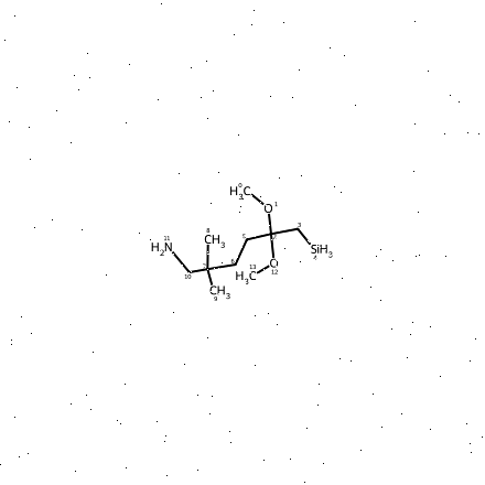 COC(C[SiH3])(CCC(C)(C)CN)OC